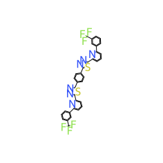 FC(F)(F)c1cccc(-c2cccc(-c3nnc(-c4ccc(-c5nnc(-c6cccc(-c7cccc(C(F)(F)F)c7)n6)s5)cc4)s3)n2)c1